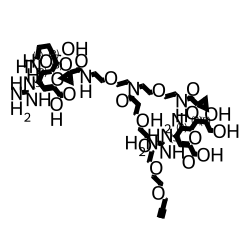 C#CCOCCOCCOCCOCCC(=O)N(CCOCCNC(=O)C1(O[C@@H](C2OC(C(=O)O)=C[C@H](NC(=N)N)[C@H]2N)[C@H](O)CO)CC1)CCOCCNC(=O)C1(O[C@H]2C3OC(C(=O)O)=C[C@H](NC(=N)N)[C@H]3N[C@@H]3CC[C@]2(CO)O3)CC1